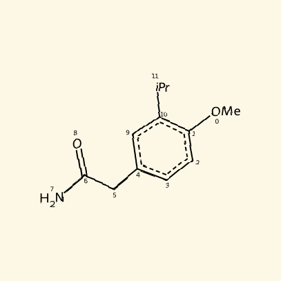 COc1ccc(CC(N)=O)cc1C(C)C